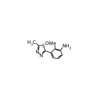 COc1c(N)cccc1-c1nnc(C)s1